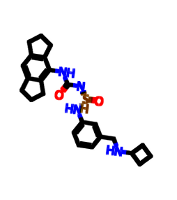 O=C(/N=[SH](=O)\Nc1cccc(CNC2CCC2)c1)Nc1c2c(cc3c1CCC3)CCC2